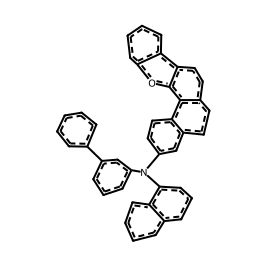 c1ccc(-c2cccc(N(c3ccc4c(ccc5ccc6c7ccccc7oc6c54)c3)c3cccc4ccccc34)c2)cc1